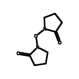 O=C1CCCN1ON1CCCC1=O